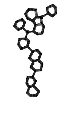 c1ccc(N(c2cccc(-c3ccc4ccc(-c5ccc6ccccc6c5)cc4c3)c2)c2cccc3c2c2ccccc2n3-c2ccccc2)cc1